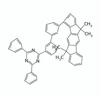 CC1(C)c2ccccc2-c2cc3c(cc21)-c1c(-c2cccc(-c4cccc(-c5nc(-c6ccccc6)nc(-c6ccccc6)n5)c4)c2)cccc1C3(C)C